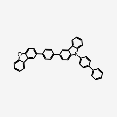 c1ccc(-c2ccc(-n3c4ccccc4c4cc(-c5ccc(-c6ccc7oc8ccccc8c7c6)cc5)ccc43)cc2)cc1